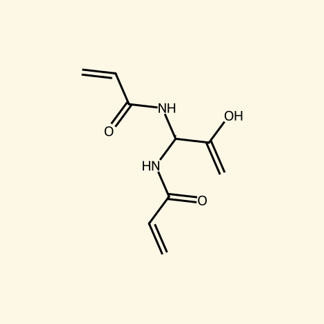 C=CC(=O)N[C](NC(=O)C=C)C(=C)O